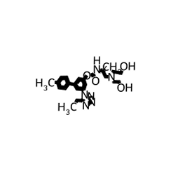 CCc1nnnn1-c1cc(OC(=O)N[C@H](C)CN(CCO)CCO)cc(-c2ccc(C)cc2)c1